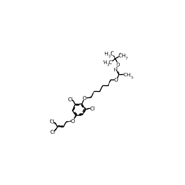 CC(=NOC(C)(C)C)OCCCCCCOc1c(Cl)cc(OCC=C(Cl)Cl)cc1Cl